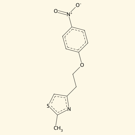 Cc1nc(CCOc2ccc([N+](=O)[O-])cc2)cs1